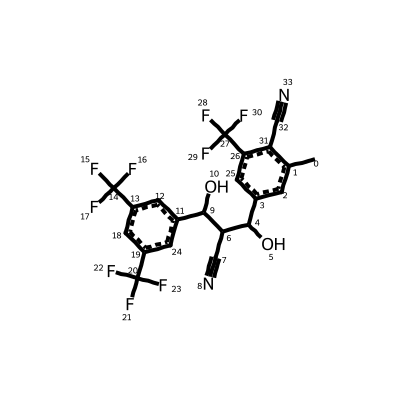 Cc1cc(C(O)C(C#N)C(O)c2cc(C(F)(F)F)cc(C(F)(F)F)c2)cc(C(F)(F)F)c1C#N